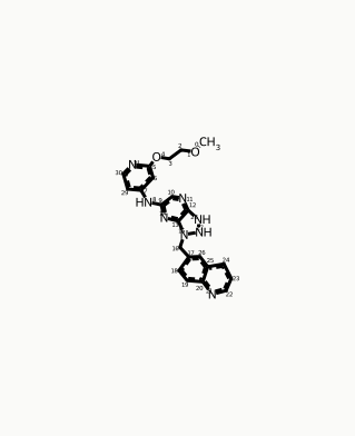 COCCOc1cc(Nc2cnc3c(n2)N(Cc2ccc4ncccc4c2)NN3)ccn1